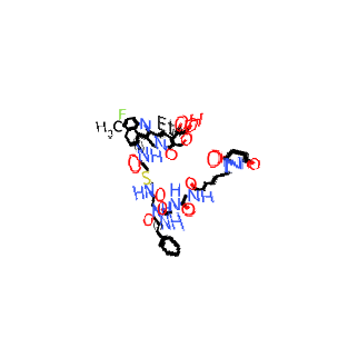 CC[C@@]1(O)C(=O)OCc2c1cc1n(c2=O)Cc2c-1nc1cc(F)c(C)c3c1c2[C@@H](NC(=O)CSCNC(=O)CNC(=O)[C@H](Cc1ccccc1)NC(=O)CNC(=O)CNC(=O)CCCCCN1C(=O)C=CC1=O)CC3